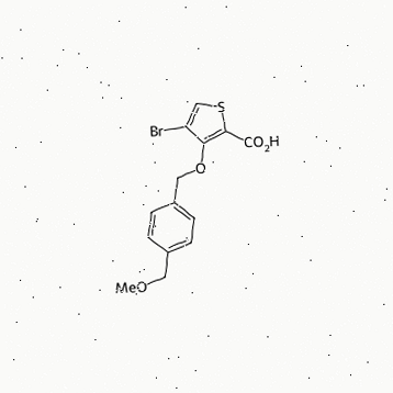 COCc1ccc(COc2c(Br)csc2C(=O)O)cc1